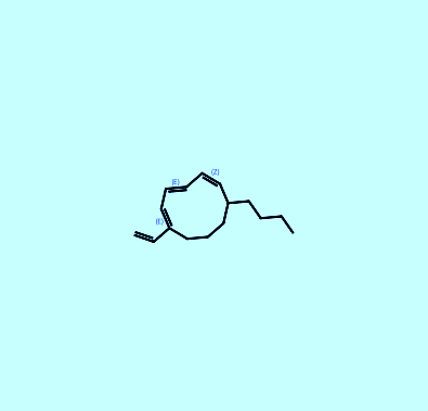 C=C/C1=C/C=C/C=C\C(CCCC)CCC1